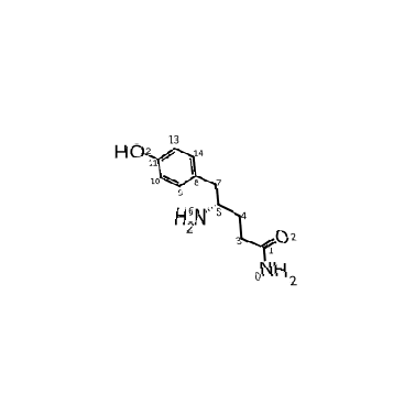 NC(=O)CC[C@H](N)Cc1ccc(O)cc1